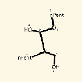 CCCCCOC(O)C(CO)CCCCC